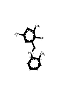 Cc1cc(C)c(O)c(CNc2ccccc2C)c1